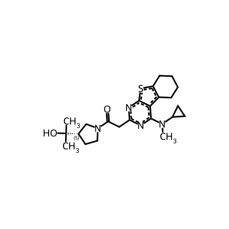 CN(c1nc(CC(=O)N2CC[C@H](C(C)(C)O)C2)nc2sc3c(c12)CCCC3)C1CC1